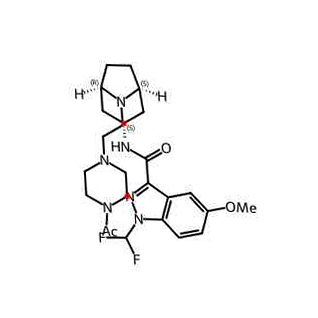 COc1ccc2c(c1)c(C(=O)N[C@@H]1C[C@H]3CC[C@@H](C1)N3CCN1CCN(C(C)=O)CC1)nn2C(F)F